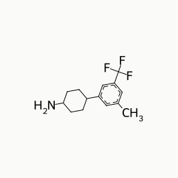 Cc1cc(C2CCC(N)CC2)cc(C(F)(F)F)c1